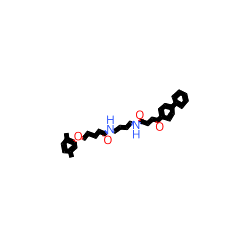 Cc1ccc(C)c(OCCCCC(=O)NCCCCNC(=O)CCC(=O)c2ccc(-c3ccccc3)cc2)c1